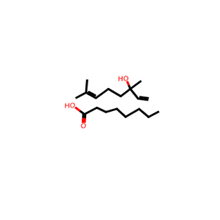 C=CC(C)(O)CCC=C(C)C.CCCCCCCC(=O)O